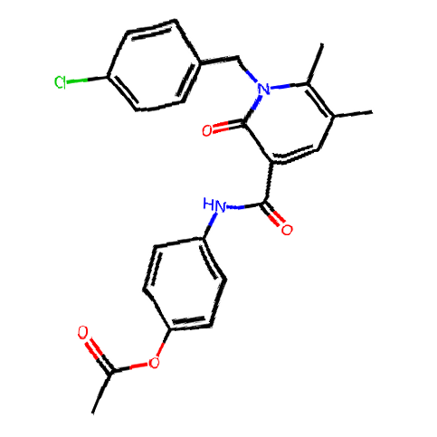 CC(=O)Oc1ccc(NC(=O)c2cc(C)c(C)n(Cc3ccc(Cl)cc3)c2=O)cc1